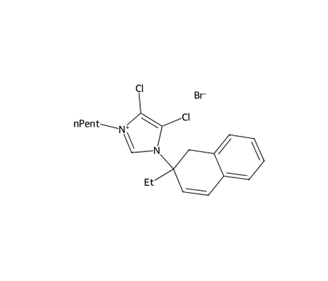 CCCCC[n+]1cn(C2(CC)C=Cc3ccccc3C2)c(Cl)c1Cl.[Br-]